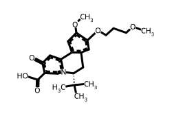 COCCCOc1cc2c(cc1OC)-c1cc(=O)c(C(=O)O)cn1[C@@H](C(C)(C)C)C2